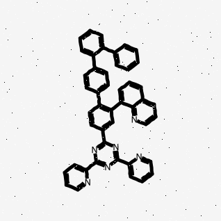 c1ccc(-c2ccccc2-c2ccc(-c3ccc(-c4nc(-c5ccccn5)nc(-c5ccccn5)n4)cc3-c3cccc4cccnc34)cc2)cc1